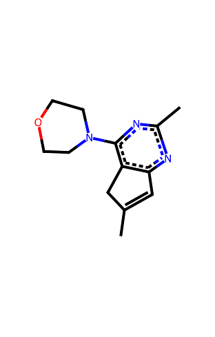 CC1=Cc2nc(C)nc(N3CCOCC3)c2C1